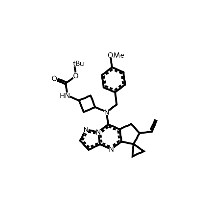 C=CC1Cc2c(nc3ccnn3c2N(Cc2ccc(OC)cc2)C2CC(NC(=O)OC(C)(C)C)C2)C12CC2